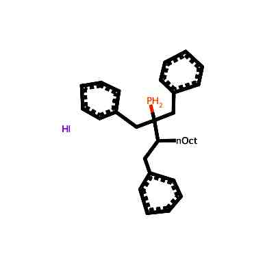 CCCCCCCCC(Cc1ccccc1)C(P)(Cc1ccccc1)Cc1ccccc1.I